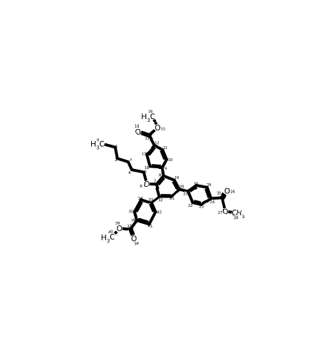 CCCCCCOc1c(-c2ccc(C(=O)OC)cc2)cc(-c2ccc(C(=O)OC)cc2)cc1-c1ccc(C(=O)OC)cc1